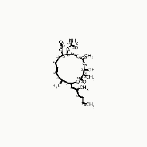 CC/C=C/C(C)=C/C1CC(C)C/C=C/CCC(OC=O)C(OC(N)=O)CCC(C)CC(O)C(C)C(=O)O1